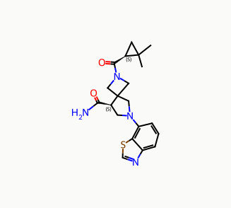 CC1(C)C[C@@H]1C(=O)N1CC2(C1)CN(c1cccc3ncsc13)C[C@H]2C(N)=O